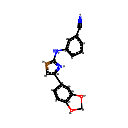 N#Cc1cccc(Nc2nc(-c3ccc4c(c3)OCO4)cs2)c1